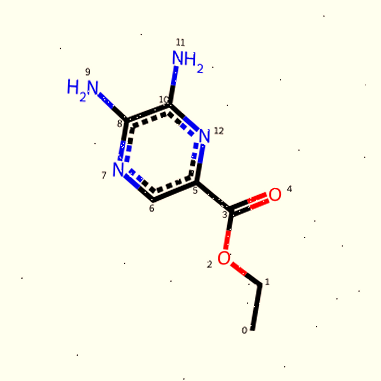 CCOC(=O)c1cnc(N)c(N)n1